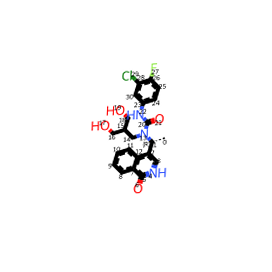 C[C@H](c1c[nH]c(=O)c2ccccc12)N(CC(CO)CO)C(=O)Nc1ccc(F)c(Cl)c1